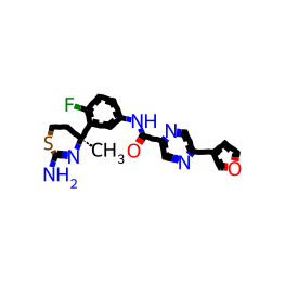 C[C@@]1(c2cc(NC(=O)c3cnc(-c4ccoc4)cn3)ccc2F)CCSC(N)=N1